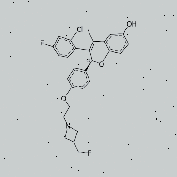 CC1=C(c2ccc(F)cc2Cl)[C@H](c2ccc(OCCN3CC(CF)C3)cc2)Oc2ccc(O)cc21